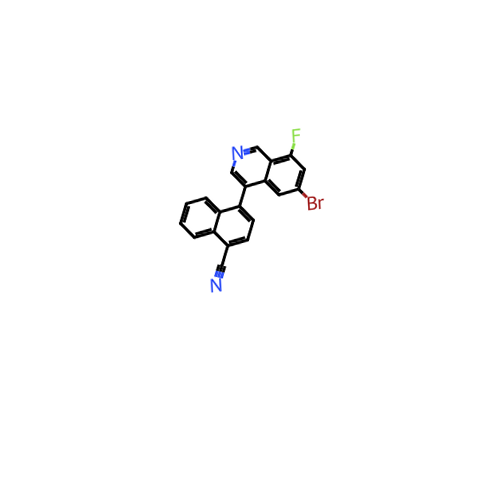 N#Cc1ccc(-c2cncc3c(F)cc(Br)cc23)c2ccccc12